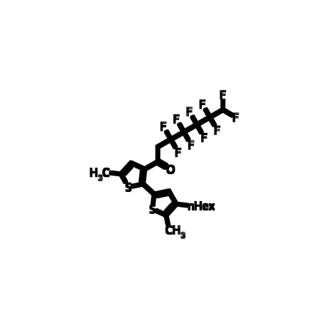 CCCCCCc1cc(-c2sc(C)cc2C(=O)CC(F)(F)C(F)(F)C(F)(F)C(F)(F)C(F)F)sc1C